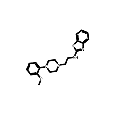 COc1ccccc1N1CCN(CCNc2nc3ccccc3s2)CC1